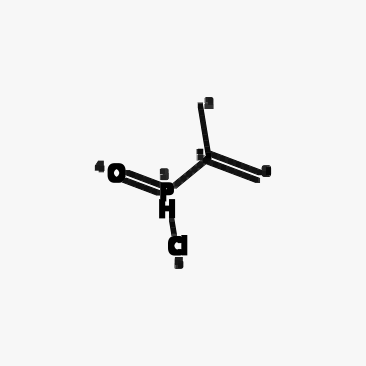 C=C(C)[PH](=O)Cl